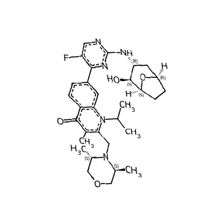 Cc1c(CN2[C@@H](C)COC[C@@H]2C)n(C(C)C)c2cc(-c3nc(N[C@@H]4C[C@H]5CC[C@H](O5)[C@H]4O)ncc3F)ccc2c1=O